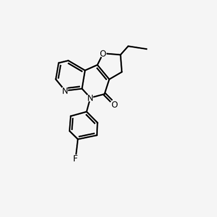 CCC1Cc2c(c3cccnc3n(-c3ccc(F)cc3)c2=O)O1